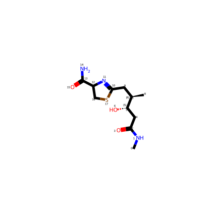 CNC(=O)C[C@H](O)[C@H](C)CC1=NC(C(N)=O)CS1